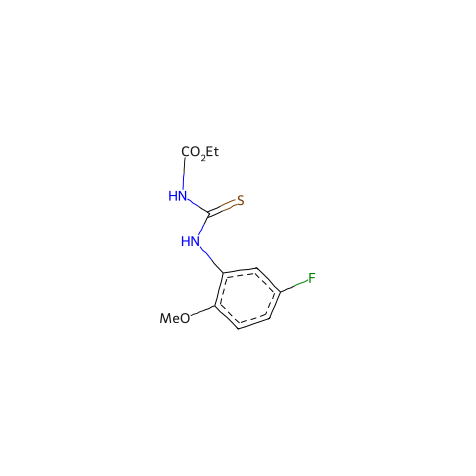 CCOC(=O)NC(=S)Nc1cc(F)ccc1OC